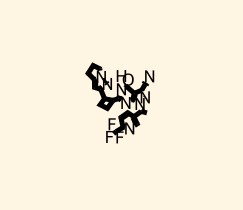 CC(c1ccc(C(F)(F)F)nc1)n1nc(C#N)c2c(=O)[nH]c(C3CCC3c3cc4n(n3)CCC4)nc21